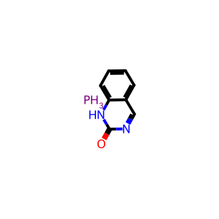 O=c1ncc2ccccc2[nH]1.P